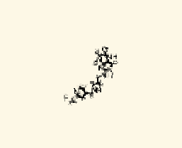 Cc1nc(NCc2cnn(Cc3ccnc(C(F)(F)F)c3)c2)nc2c1NC(=O)[C@H](C)N2C